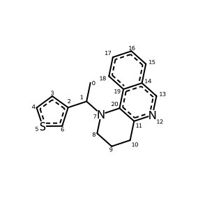 CC(c1ccsc1)N1CCCc2ncc3ccccc3c21